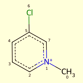 C[n+]1cccc(Cl)c1